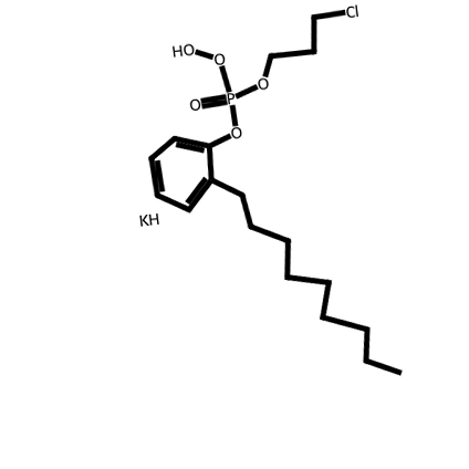 CCCCCCCCCc1ccccc1OP(=O)(OO)OCCCCl.[KH]